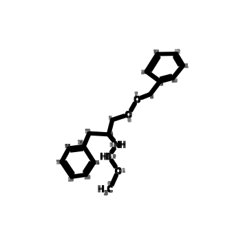 COBNC(COOCc1ccccc1)Cc1ccccc1